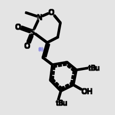 CN1OCC/C(=C\c2cc(C(C)(C)C)c(O)c(C(C)(C)C)c2)S1(=O)=O